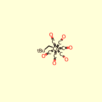 CC(C)(C)[CH2][Co](=[C]=O)(=[C]=O)(=[C]=O)(=[C]=O)(=[C]=O)=[C]=O